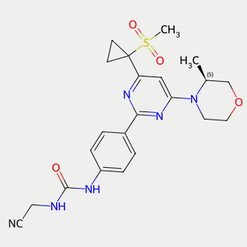 C[C@H]1COCCN1c1cc(C2(S(C)(=O)=O)CC2)nc(-c2ccc(NC(=O)NCC#N)cc2)n1